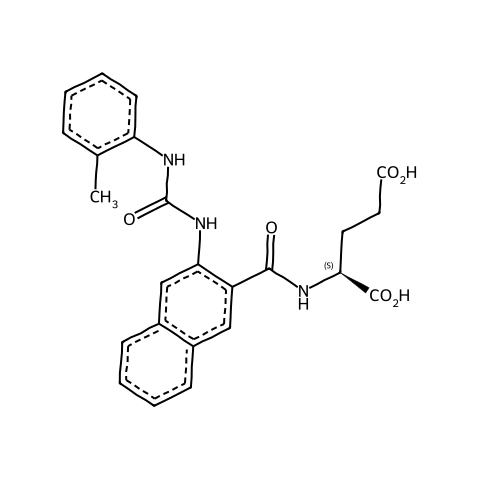 Cc1ccccc1NC(=O)Nc1cc2ccccc2cc1C(=O)N[C@@H](CCC(=O)O)C(=O)O